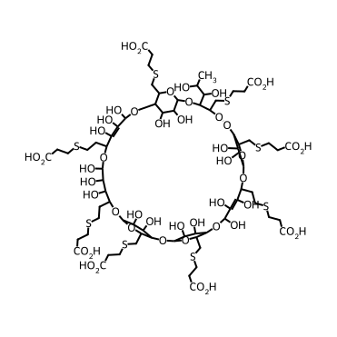 CC(O)C(O)C1OC2OC(CSCCC(=O)O)C(OC(O)/C(O)=C(/O)C(CCSCCC(=O)O)OC(O)C(O)C(O)C(CCSCCC(=O)O)OC3OC(CSCCC(=O)O)C(OC4OC(CSCCC(=O)O)C(OC(O)/C(O)=C(\O)C(CCSCCC(=O)O)OC5OC(CSCCC(=O)O)C(OOC1CSCCC(=O)O)C(O)C5O)C(O)C4O)C(O)C3O)C(O)C2O